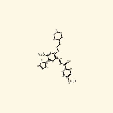 COc1cc(OCCN2CCOCC2)c(/C=C/C(=O)c2ccc(C(=O)O)cc2)cc1-c1cccs1